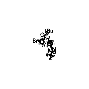 CC(C)(C)OC(=O)N(CC12CCC(c3noc(C4(F)CC4)n3)(CC1)CC2)c1cc(Br)ccn1